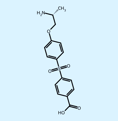 C[C@@H](N)COc1ccc(S(=O)(=O)c2ccc(C(=O)O)cc2)cc1